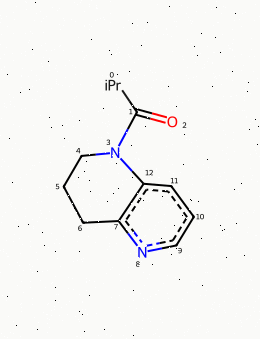 CC(C)C(=O)N1CCCc2ncccc21